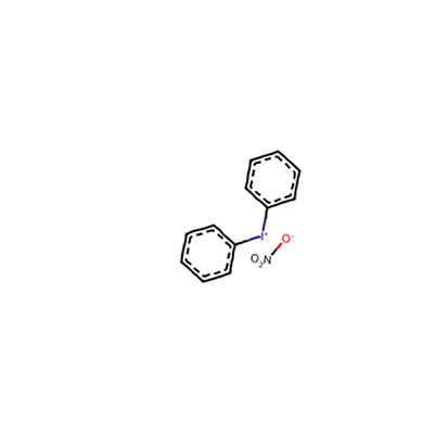 O=[N+]([O-])[O-].c1ccc([I+]c2ccccc2)cc1